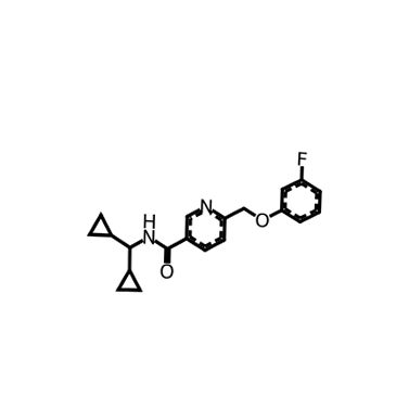 O=C(NC(C1CC1)C1CC1)c1ccc(COc2cccc(F)c2)nc1